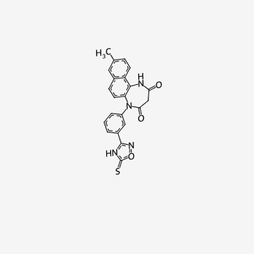 Cc1ccc2c3c(ccc2c1)N(c1cccc(-c2noc(=S)[nH]2)c1)C(=O)CC(=O)N3